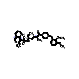 C=C/C(=C1/NCC=C/C1=C/C)S(=O)(=O)N[C@@H](C=C)C/C=C(\C)C(=O)N1CCN(Cc2cccc(OC)c2OC)CC1